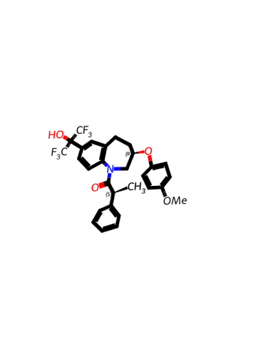 COc1ccc(O[C@@H]2CCc3cc(C(O)(C(F)(F)F)C(F)(F)F)ccc3N(C(=O)[C@@H](C)c3ccccc3)C2)cc1